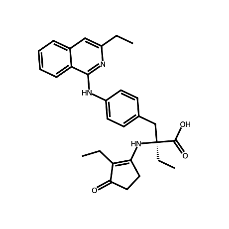 CCC1=C(N[C@@](CC)(Cc2ccc(Nc3nc(CC)cc4ccccc34)cc2)C(=O)O)CCC1=O